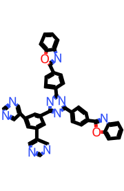 c1ccc2oc(-c3ccc(-c4nc(-c5ccc(-c6nc7ccccc7o6)cc5)nc(-c5cc(-c6cncnc6)cc(-c6cncnc6)c5)n4)cc3)nc2c1